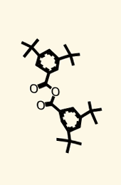 CC(C)(C)c1cc(C(=O)OC(=O)c2cc(C(C)(C)C)cc(C(C)(C)C)c2)cc(C(C)(C)C)c1